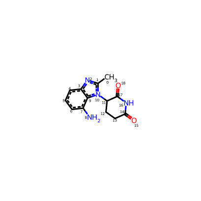 Cc1nc2cccc(N)c2n1C1CCC(=O)NC1=O